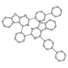 c1ccc(-c2ccc(-c3nc(-c4ccccc4-c4nc(-c5ccc(-c6ccccc6)cc5)c5c(n4)oc4ccccc45)c4c(n3)oc3ccccc34)cc2)cc1